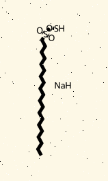 CCCCCCCCCCCCCCCCCCCCS(=O)(=O)OS.[NaH]